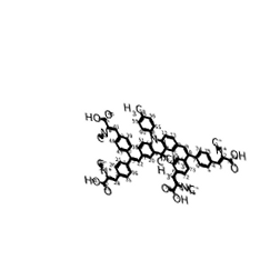 [C-]#[N+]/C(=C\c1ccc(C(=Cc2ccc3c(c2)C(C)(C)c2cc(C=C(c4ccc(/C=C(\[N+]#[C-])C(=O)O)cc4)c4ccc(/C=C(\[N+]#[C-])C(=O)O)cc4)ccc2N3c2ccc(C)cc2)c2ccc(/C=C(\[N+]#[C-])C(=O)O)cc2)cc1)C(=O)O